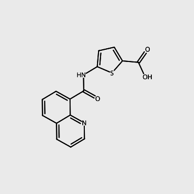 O=C(O)c1ccc(NC(=O)c2cccc3cccnc23)s1